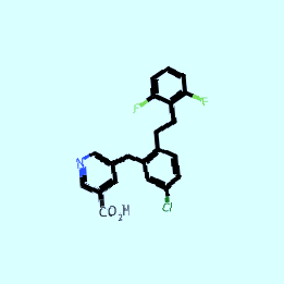 O=C(O)c1cncc(Cc2cc(Cl)ccc2CCc2c(F)cccc2F)c1